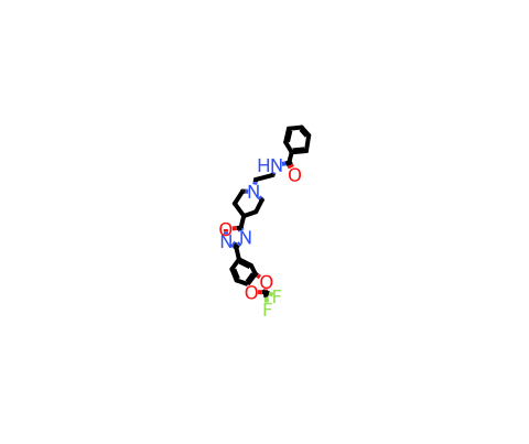 O=C(NCCN1CCC(c2nc(-c3ccc4c(c3)OC(F)(F)O4)no2)CC1)c1ccccc1